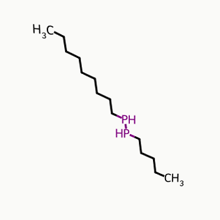 CCCCCCCCCPPCCCCC